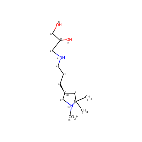 CC1(C)C[C@H](CCCNCC(O)CO)CN1C(=O)O